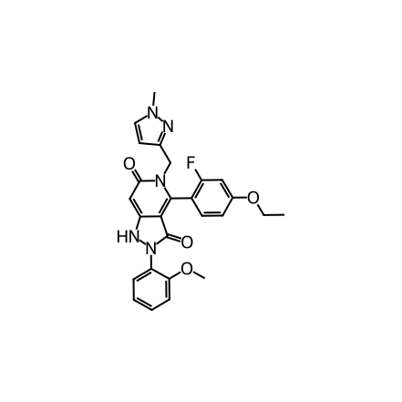 CCOc1ccc(-c2c3c(=O)n(-c4ccccc4OC)[nH]c3cc(=O)n2Cc2ccn(C)n2)c(F)c1